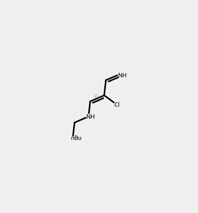 CCCCCN/C=C(\Cl)C=N